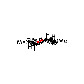 COC(=O)N[C@H](C(=O)N1CCC[C@H]1C(=O)Nc1ccc(-c2ccc(-c3ccc(NC(=O)[C@@H]4CCCN4C(=O)[C@@H](NC(=O)OC)C(C)C)cc3)c3c2C2CCC3CC2)cc1)C(C)C